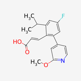 COc1cc(-c2cc(F)cc(C(C)C)c2C=CC(=O)O)ccn1